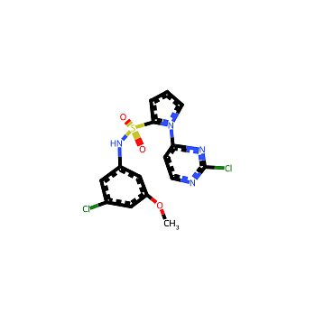 COc1cc(Cl)cc(NS(=O)(=O)c2cccn2-c2ccnc(Cl)n2)c1